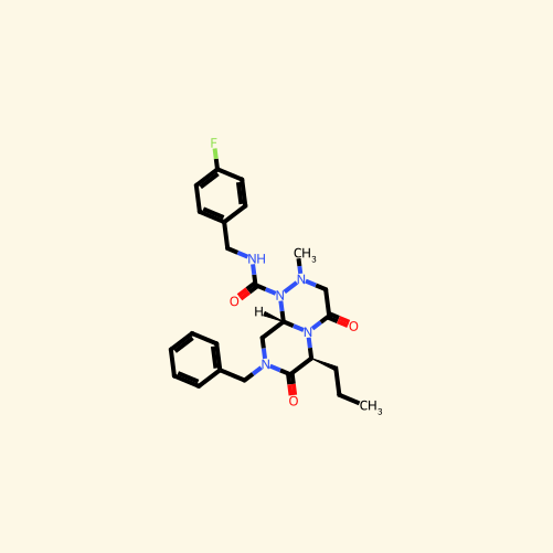 CCC[C@H]1C(=O)N(Cc2ccccc2)C[C@H]2N1C(=O)CN(C)N2C(=O)NCc1ccc(F)cc1